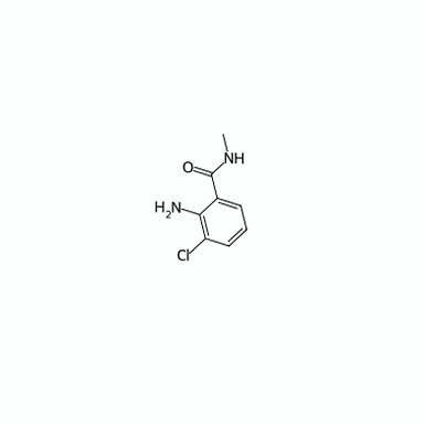 CNC(=O)c1cccc(Cl)c1N